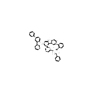 c1ccc(-c2ccc3c(c2)c2ccccc2n3-c2ccc3c(c2)oc2cc4oc5cccc(-c6nc(-c7ccccc7)nc(-c7ccccc7)n6)c5c4cc23)cc1